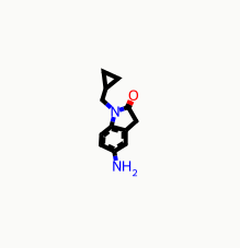 Nc1ccc2c(c1)CC(=O)N2CC1CC1